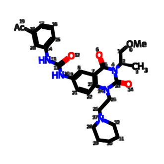 COC[C@@H](C)n1c(=O)c2cc(NC(=O)Nc3cccc(C(C)=O)c3)ccc2n(CCN2CCCCC2)c1=O